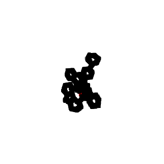 c1ccc(-c2ccc(-c3nc(-c4ccccc4)nc(-c4cccc5oc6cccc(-c7cccc8c7oc7c9ccccc9ccc87)c6c45)n3)cc2)cc1